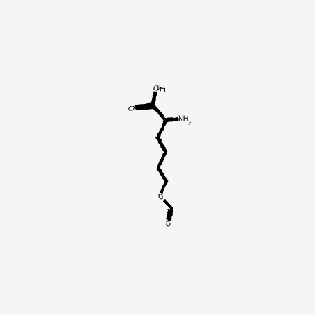 NC(CCCCOC=O)C(=O)O